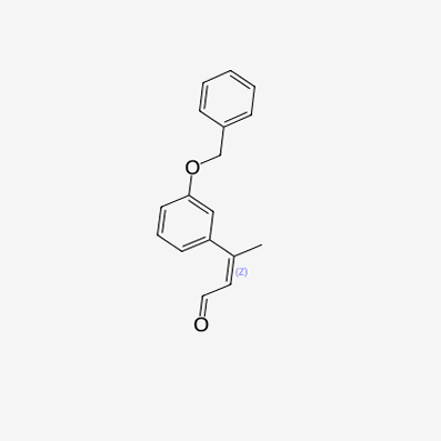 C/C(=C/C=O)c1cccc(OCc2ccccc2)c1